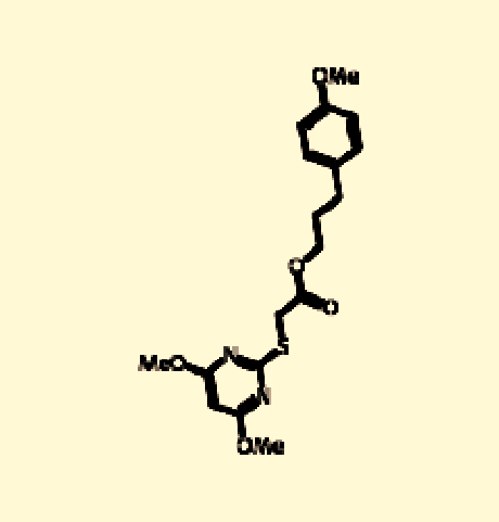 COc1ccc(CCCOC(=O)CSc2nc(OC)cc(OC)n2)cc1